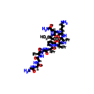 CC(C)C[C@H](NC(=O)[C@@H]1CCCN1C(=O)[C@@H](NC(=O)CNC(=O)[C@@H](NC(=O)CNC(=O)[C@H](C)NC(=O)CN)C(C)C)C(C)C)C(=O)N[C@H](C(=O)N[C@@H](CCCCN)C(=O)N[C@@H](CCC(N)=O)C(=O)N[C@@H](CC(=O)O)C(=O)O)C(C)C